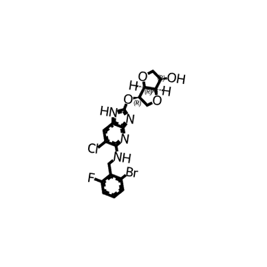 O[C@@H]1CO[C@H]2[C@@H]1OC[C@H]2Oc1nc2nc(NCc3c(F)cccc3Br)c(Cl)cc2[nH]1